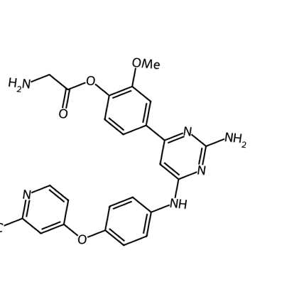 COc1cc(-c2cc(Nc3ccc(Oc4ccnc(C(F)(F)F)c4)cc3)nc(N)n2)ccc1OC(=O)CN